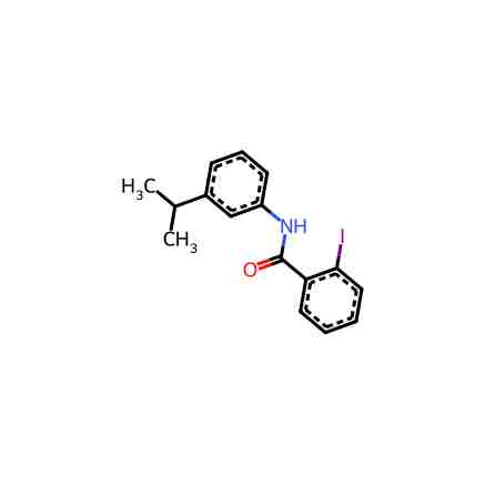 CC(C)c1cccc(NC(=O)c2ccccc2I)c1